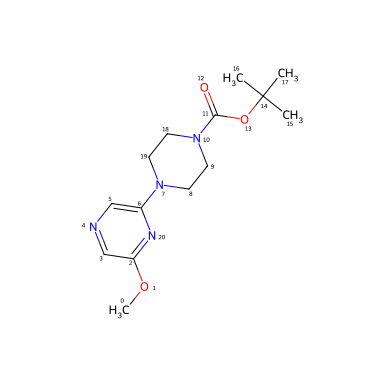 COc1cncc(N2CCN(C(=O)OC(C)(C)C)CC2)n1